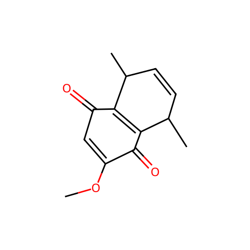 COC1=CC(=O)C2=C(C1=O)C(C)C=CC2C